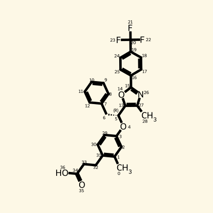 Cc1cc(O[C@H](Cc2ccccc2)c2oc(-c3ccc(C(F)(F)F)cc3)nc2C)ccc1CCC(=O)O